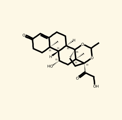 CC1O[C@@]2(C(=O)CO)CC[C@@]3(O1)[C@@H]1CCC4=CC(=O)CC[C@]4(C)[C@H]1[C@@H](O)C[C@]23C